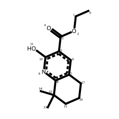 CCOC(=O)c1cc2c(nc1O)C(C)(C)CCC2